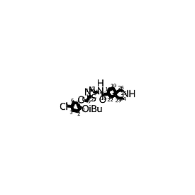 CC(C)COc1ccc(Cl)cc1OCc1nnc(NC(=O)c2ccc3c(c2)CCNC3)s1